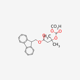 CC(C)(CC(=O)OCC1c2ccccc2-c2ccccc21)OC(=O)OC(=O)O